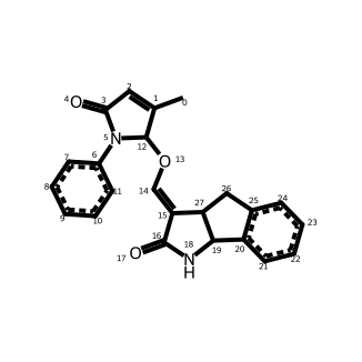 CC1=CC(=O)N(c2ccccc2)C1OC=C1C(=O)NC2c3ccccc3CC12